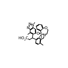 Cc1ccc(C(CC(=O)O)c2ccc3c(nnn3C)c2C)cc1CN1CCOc2ccccc2S1(=O)=O